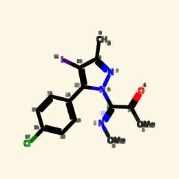 CO/N=C(\C(=O)OC)n1nc(C)c(I)c1-c1ccc(Cl)cc1